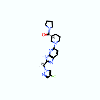 C[C@H](c1nc2ccc(N3CCC[C@@H](C(=O)N4CCCC4)C3)nc2[nH]1)n1cc(F)cn1